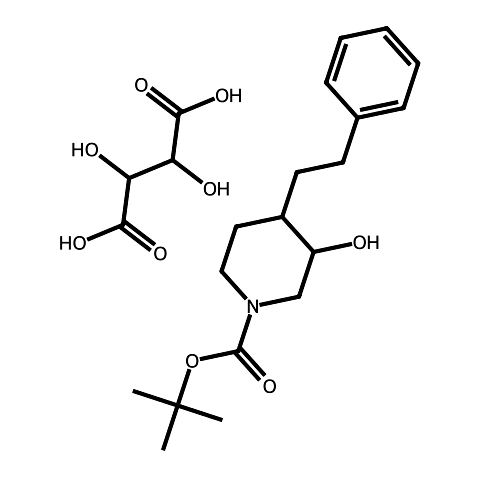 CC(C)(C)OC(=O)N1CCC(CCc2ccccc2)C(O)C1.O=C(O)C(O)C(O)C(=O)O